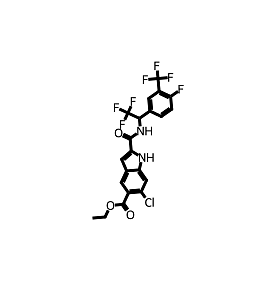 CCOC(=O)c1cc2cc(C(=O)NC(c3ccc(F)c(C(F)(F)F)c3)C(F)(F)F)[nH]c2cc1Cl